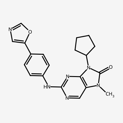 Cn1c(=O)n(C2CCCC2)c2nc(Nc3ccc(-c4cnco4)cc3)ncc21